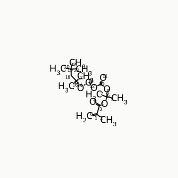 C=C(C)C(=O)OC(C)(C)OC(=O)OOOC(C)(C)CC(C)(C)C